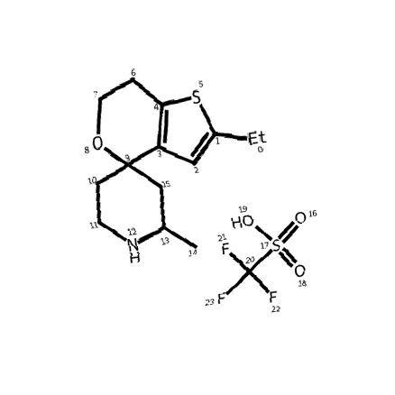 CCc1cc2c(s1)CCOC21CCNC(C)C1.O=S(=O)(O)C(F)(F)F